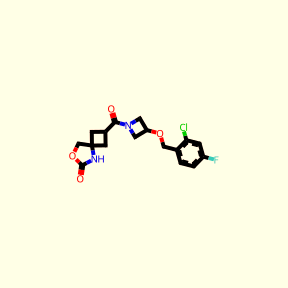 O=C1NC2(CO1)CC(C(=O)N1CC(OCc3ccc(F)cc3Cl)C1)C2